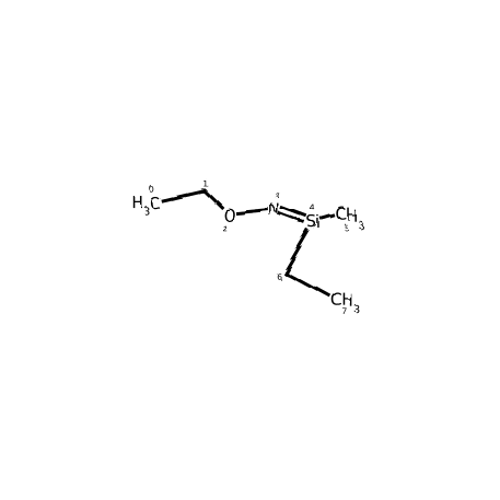 CCON=[Si](C)CC